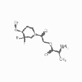 CCO[C@H]1CCN(C(=O)COC(=O)[C@H](C)N)CC1(F)F